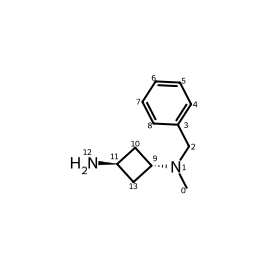 CN(Cc1ccccc1)[C@H]1C[C@H](N)C1